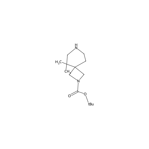 CC(C)(C)OC(=O)N1CC2(CCNCC2(C)C)C1